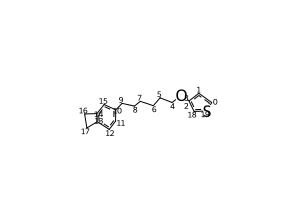 c1cc(OCCCCCCc2ccc3c(c2)CC3)cs1